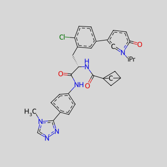 CC(C)n1cc(-c2ccc(Cl)c(C[C@H](NC(=O)C34CC(C3)C4)C(=O)Nc3ccc(-c4nncn4C)cc3)c2)ccc1=O